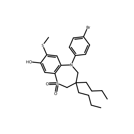 CCCCC1(CCCC)CN(c2ccc(Br)cc2)c2cc(SC)c(O)cc2S(=O)(=O)C1